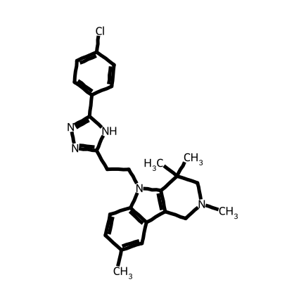 Cc1ccc2c(c1)c1c(n2CCc2nnc(-c3ccc(Cl)cc3)[nH]2)C(C)(C)CN(C)C1